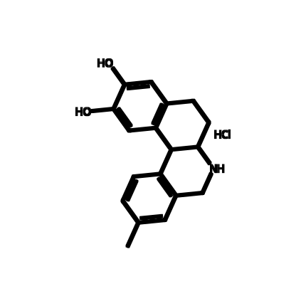 Cc1ccc2c(c1)CNC1CCc3cc(O)c(O)cc3C21.Cl